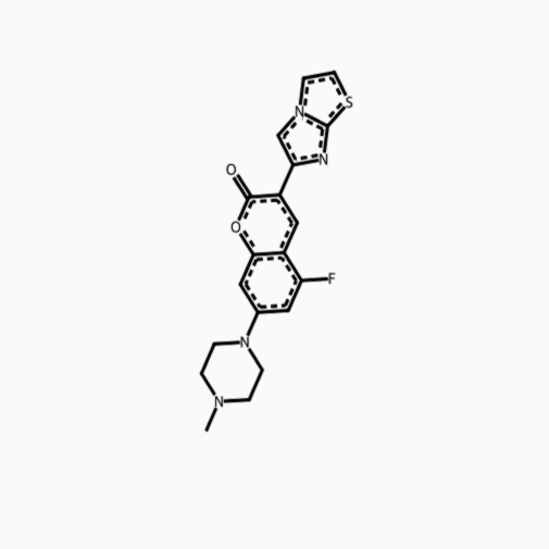 CN1CCN(c2cc(F)c3cc(-c4cn5ccsc5n4)c(=O)oc3c2)CC1